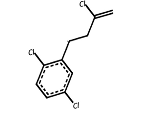 C=C(Cl)C[CH]c1cc(Cl)ccc1Cl